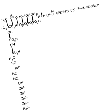 CC(=O)O.CC(=O)O.Cl.Cl.Cl.Cl.O.O.O.O=C(O)O.O=C(O)O.O=C(O)O.O=S(=O)(O)O.O=S(=O)(O)O.O=S(=O)(O)O.[Al+3].[Al+3].[Ba+2].[Ba+2].[Ca+2].[Ca+2].[O-2].[OH].[OH].[Zn+2].[Zn+2].[Zn+2].[Zn+2].[Zn+2].[Zn+2].[Zn+2]